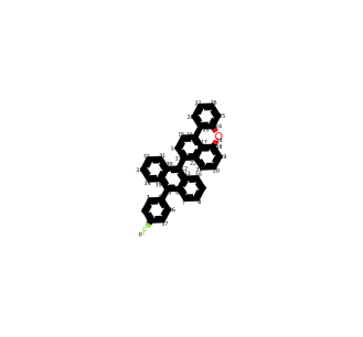 Fc1ccc(-c2c3ccccc3c(-c3ccc4c5c(cccc35)Oc3ccccc3-4)c3ccccc23)cc1